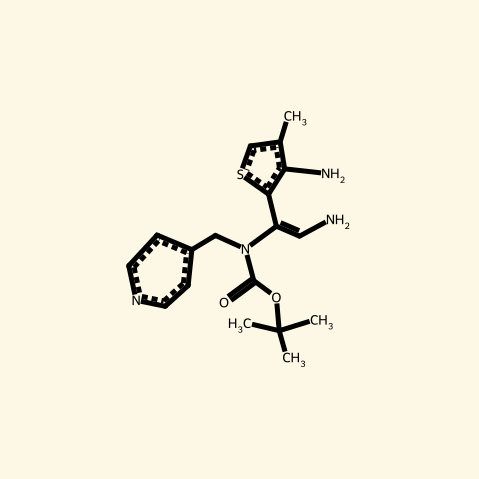 Cc1csc(/C(=C\N)N(Cc2ccncc2)C(=O)OC(C)(C)C)c1N